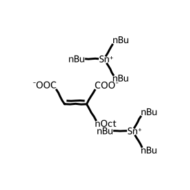 CCCCCCCC/C(=C/C(=O)[O-])C(=O)[O-].CCC[CH2][Sn+]([CH2]CCC)[CH2]CCC.CCC[CH2][Sn+]([CH2]CCC)[CH2]CCC